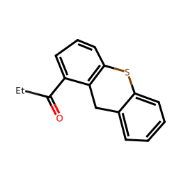 CCC(=O)c1cccc2c1Cc1ccccc1S2